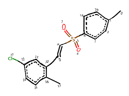 Cc1ccc(S(=O)(=O)C=Cc2cc(Cl)ccc2C)cc1